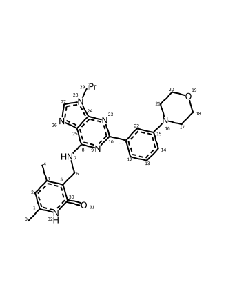 Cc1cc(C)c(CNc2nc(-c3cccc(N4CCOCC4)c3)nc3c2ncn3C(C)C)c(=O)[nH]1